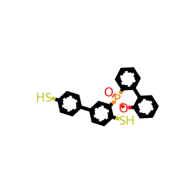 O=P1(c2cc(-c3ccc(S)cc3)ccc2S)Oc2ccccc2-c2ccccc21